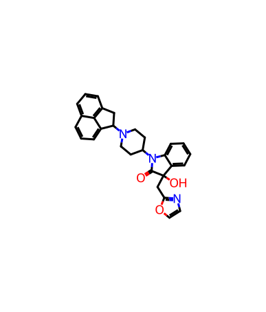 O=C1N(C2CCN(C3Cc4cccc5cccc3c45)CC2)c2ccccc2C1(O)Cc1ncco1